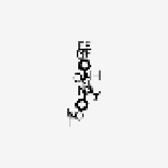 CC(C)C1CN(C(=O)Nc2ccc(OC(F)(F)F)cc2)N=C1c1ccc(OC(F)F)cc1